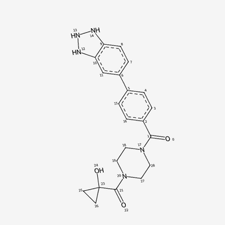 O=C(c1ccc(-c2ccc3c(c2)NNN3)cc1)N1CCN(C(=O)C2(O)CC2)CC1